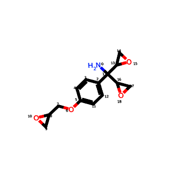 NC(c1ccc(OCC2CO2)cc1)(C1CO1)C1CO1